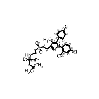 C=C(C)CC(CC)(CCC)NCCS(=O)(=O)CCc1nn(-c2ccc(Cl)cc2Cl)c(-c2ccc(Cl)cc2)c1C